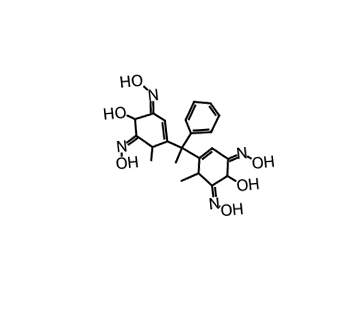 CC1C(C(C)(C2=CC(=NO)C(O)C(=NO)C2C)c2ccccc2)=CC(=NO)C(O)C1=NO